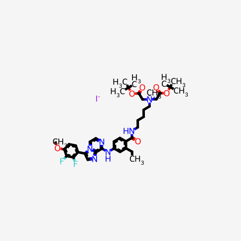 CCc1cc(Nc2nccn3c(-c4ccc(OC)c(F)c4F)cnc23)ccc1C(=O)NCCCCC[N+](C)(CC(=O)OC(C)(C)C)CC(=O)OC(C)(C)C.[I-]